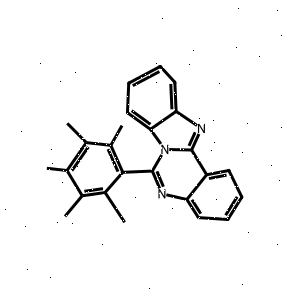 Cc1c(C)c(C)c(-c2nc3ccccc3c3nc4ccccc4n23)c(C)c1C